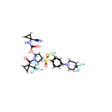 N#CC1(NC(=O)O[C@H]2C[C@@H](S(=O)(=O)c3ccc(N4CCC(F)(F)CC4)cc3Cl)CN2C(=O)C2(C(F)(F)F)CC2)CC1